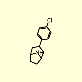 Clc1ccc(C2CC3CCC(C2)N3)cc1